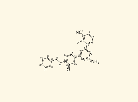 Cc1c(C#N)cccc1-c1cc(-c2ccn(CCc3ccccc3)c(=O)c2)nc(N)n1